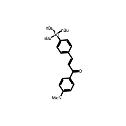 CCC[CH2][Sn]([CH2]CCC)([CH2]CCC)[c]1ccc(C=CC(=O)c2ccc(NC)cc2)cc1